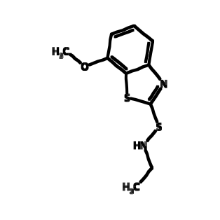 CCNSc1nc2cccc(OC)c2s1